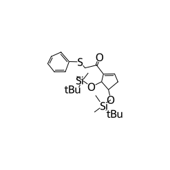 CC(C)(C)[Si](C)(C)OC1CC=C(C(=O)CSc2ccccc2)C1O[Si](C)(C)C(C)(C)C